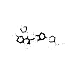 CN(C)[C@@H]1CCN(c2ccc3nc(-c4c(N[C@H]5CCNC5)c5cc(Cl)ccc5[nH]c4=O)[nH]c3c2)C1